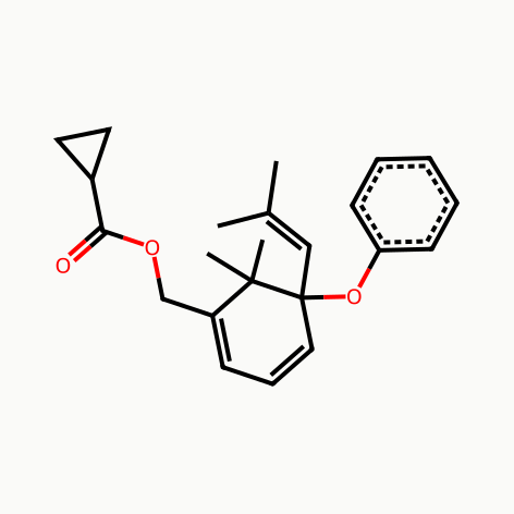 CC(C)=CC1(Oc2ccccc2)C=CC=C(COC(=O)C2CC2)C1(C)C